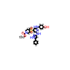 CC(C)(C)OC(=O)N1CCC(C)(S(=O)(=O)c2cc(Nc3cc(-c4ccccc4)[nH]n3)nc(NC3CCC(O)CC3)c2)CC1